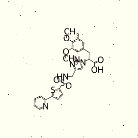 COc1ccc(CC(C(=O)O)n2cc(CNS(=O)(=O)c3ccc(-c4ccccn4)s3)nn2)cc1OC